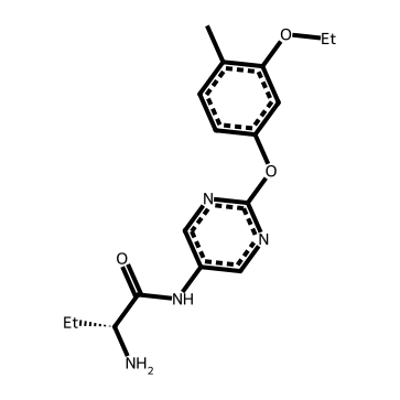 CCOc1cc(Oc2ncc(NC(=O)[C@H](N)CC)cn2)ccc1C